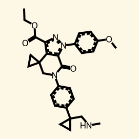 CCOC(=O)c1nn(-c2ccc(OC)cc2)c2c1C1(CC1)CN(c1ccc(C3(CNC)CC3)cc1)C2=O